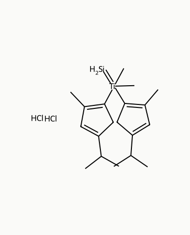 CC1=[C]([Ti]([CH3])([CH3])(=[SiH2])[C]2=C(C)C=C(C(C)C)C2)CC(C(C)C)=C1.Cl.Cl